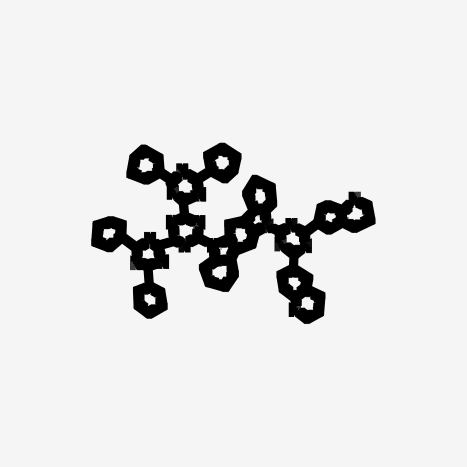 c1ccc(-c2nc(-c3ccccc3)nc(-c3nc(-c4nc(-c5ccccc5)nc(-c5ccccc5)n4)nc(-n4c5ccccc5c5cc6c(cc54)c4ccccc4n6-c4nc(-c5ccc6ncccc6c5)nc(-c5ccc6ncccc6c5)n4)n3)n2)cc1